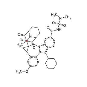 COc1ccc2c(c1)C1CC1(C(=O)N1C3CCCC1C(=O)N(C)C3=O)Cn1c-2c(C2CCCCC2)c2ccc(C(=O)NS(=O)(=O)N(C)C)cc21